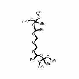 CCCCC(OCCC)(OCCC)OC(CC)OCOCOC(CC)OC(CCCC)(OCCC)OCCC